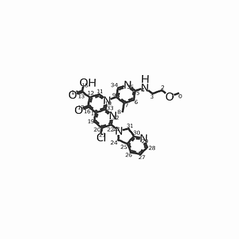 COCCNc1cc(C)c(-n2cc(C(=O)O)c(=O)c3cc(Cl)c(N4Cc5cccnc5C4)nc32)cn1